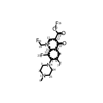 CN1CCN(c2c(F)cc3c(=O)c(C(=O)OF)cn(CF)c3c2F)CC1